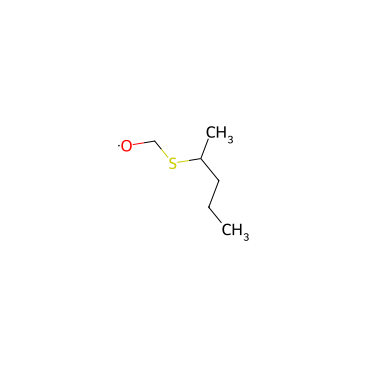 CCCC(C)SC[O]